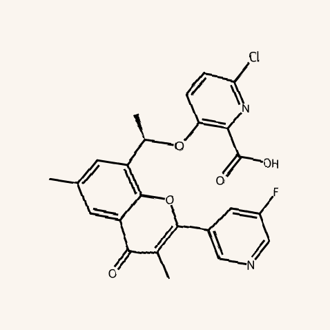 Cc1cc([C@@H](C)Oc2ccc(Cl)nc2C(=O)O)c2oc(-c3cncc(F)c3)c(C)c(=O)c2c1